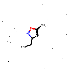 CCCCC[C]1C=C(C)ON1